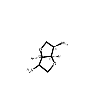 NC1CO[C@@H]2[C@H](N)CO[C@H]12